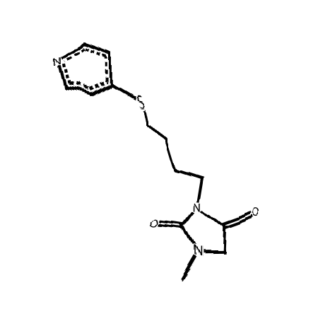 CN1CC(=O)N(CCCCSc2ccncc2)C1=O